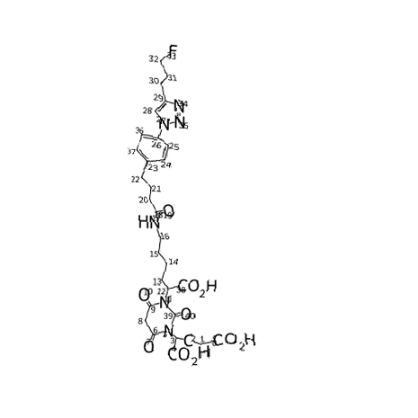 O=C(O)CCC(C(=O)O)N1C(=O)CC(=O)N(C(CCCCNC(=O)CCCc2ccc(-n3cc(CCCF)nn3)cc2)C(=O)O)C1=O